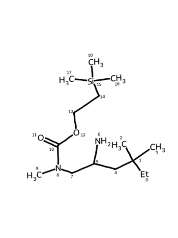 CCC(C)(C)CC(N)CN(C)C(=O)OCC[Si](C)(C)C